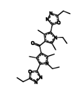 CCc1nnc(-c2c(C)c(C(=O)c3c(C)c(-c4nnc(CC)o4)n(CC)c3C)c(C)n2CC)o1